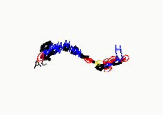 CC(=O)c1c(C)c2cnc(Nc3ccc(N4CCN(CCCOCCSc5cccc6c5C(=O)N(C5CCC(=O)NC5=O)C6=O)CC4)cn3)nc2n(C2CCCC2)c1=O